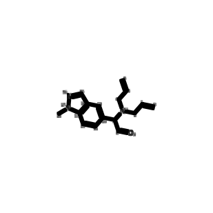 C=CCN(CC=C)C(C=O)c1ccc2c(cnn2C)c1